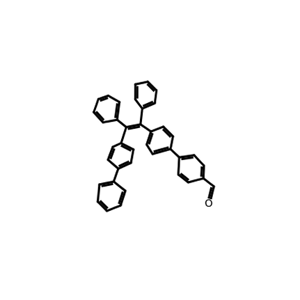 O=Cc1ccc(-c2ccc(C(=C(c3ccccc3)c3ccc(-c4ccccc4)cc3)c3ccccc3)cc2)cc1